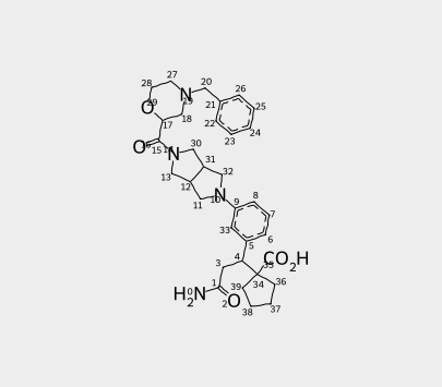 NC(=O)CC(c1cccc(N2CC3CN(C(=O)C4CN(Cc5ccccc5)CCO4)CC3C2)c1)C1(C(=O)O)CCCC1